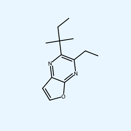 CCc1nc2occc2nc1C(C)(C)CC